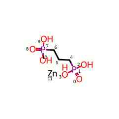 O=P(O)(O)CCCP(=O)(O)O.[Zn]